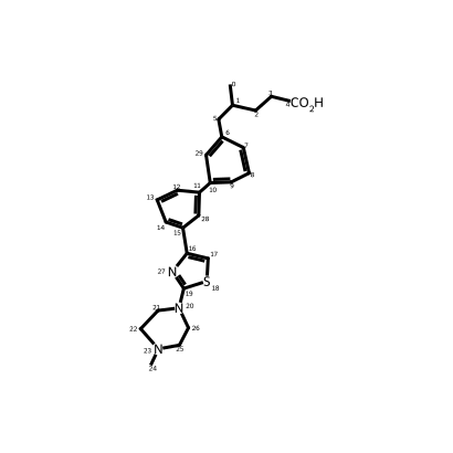 CC(CCC(=O)O)Cc1cccc(-c2cccc(-c3csc(N4CCN(C)CC4)n3)c2)c1